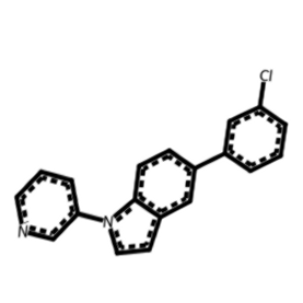 Clc1cccc(-c2ccc3c(ccn3-c3cccnc3)c2)c1